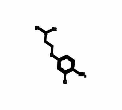 CCN(CC)CCOc1ccc(N)c(Cl)c1